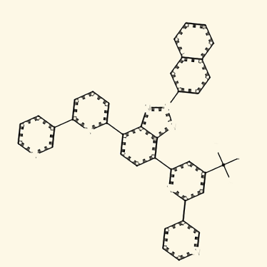 FC(F)(F)c1cc(-c2cccnc2)nc(-c2ccc(-c3cccc(-c4cccnc4)n3)c3nn(-c4ccc5ccccc5c4)nc23)c1